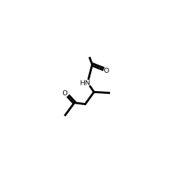 CC(=O)CC(C)NC(C)=O